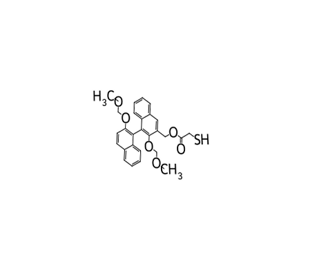 COCOc1ccc2ccccc2c1-c1c(OCOC)c(COC(=O)CS)cc2ccccc12